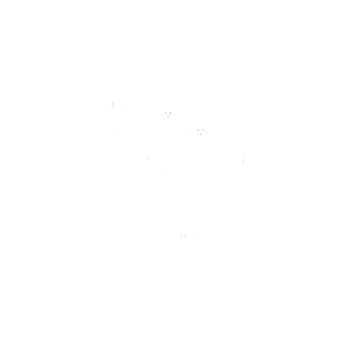 C=C(CCCCCCCCCCCC)C(=O)OC.C=C(Cc1ccccc1)C(=O)OC